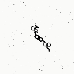 C=C(C)C(=O)OCC1CC2CC1C1CC(COC(=O)CCC)CC21